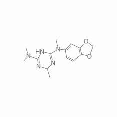 CC1N=C(N(C)C)NC(N(C)c2ccc3c(c2)OCO3)=N1